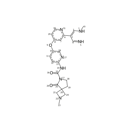 CN/C=C(\C=N)c1cc(Oc2ccc(NC(=O)N3CCC4(CN(C)C4)C3=O)nc2)ccn1